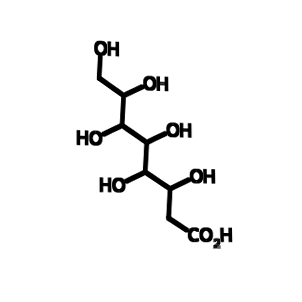 O=C(O)CC(O)C(O)C(O)C(O)C(O)CO